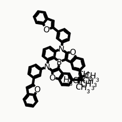 CC(C)(C)c1ccc2oc3c(c2c1)B1c2c(cccc2N(c2cccc(-c4cc5ccccc5o4)c2)c2oc4ccc(C(C)(C)C)cc4c21)N3c1cccc(-c2cc3ccccc3o2)c1